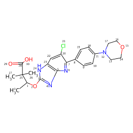 CC(Oc1nc2nc(-c3ccc(N4CCOCC4)cc3)c(Cl)cc2[nH]1)C(C)(C)C(=O)O